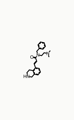 CN(C)CCN(Cc1ccccc1)C(=O)C=Cc1cccc2c1CCNC2